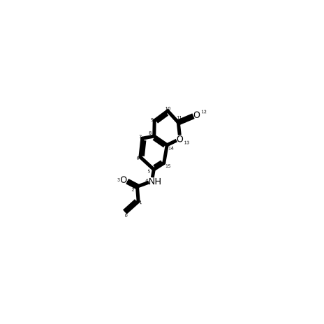 C=CC(=O)Nc1ccc2ccc(=O)oc2c1